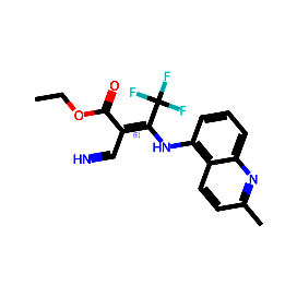 CCOC(=O)/C(C=N)=C(/Nc1cccc2nc(C)ccc12)C(F)(F)F